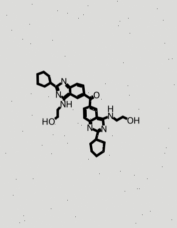 O=C(c1ccc2nc(C3CCCCC3)nc(NCCO)c2c1)c1ccc2nc(C3CCCCC3)nc(NCCO)c2c1